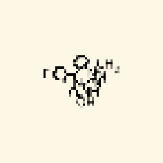 Cc1nnc2n1-c1ccccc1C(c1ccc(F)cc1)=NC2NC(=O)O